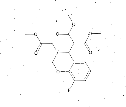 COC(=O)CC1COc2c(F)cccc2C1C(C(=O)OC)C(=O)OC